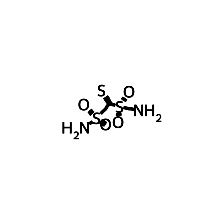 NS(=O)(=O)C(=S)S(N)(=O)=O